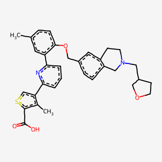 Cc1ccc(OCc2ccc3c(c2)CCN(CC2CCOC2)C3)c(-c2cccc(-c3csc(C(=O)O)c3C)n2)c1